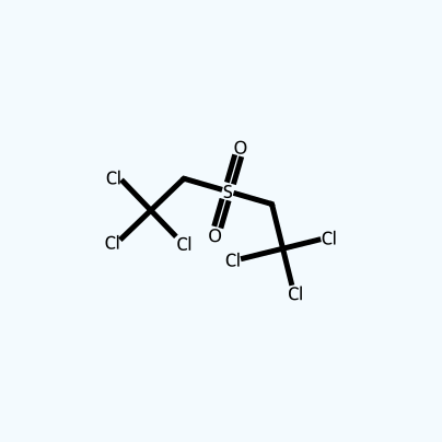 O=S(=O)(CC(Cl)(Cl)Cl)CC(Cl)(Cl)Cl